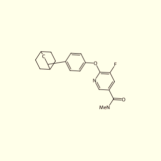 CNC(=O)c1cnc(Oc2ccc(C3CC4CCC3CC4)cc2)c(F)c1